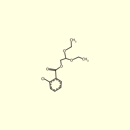 CCOC(COC(=O)c1ccccc1Cl)OCC